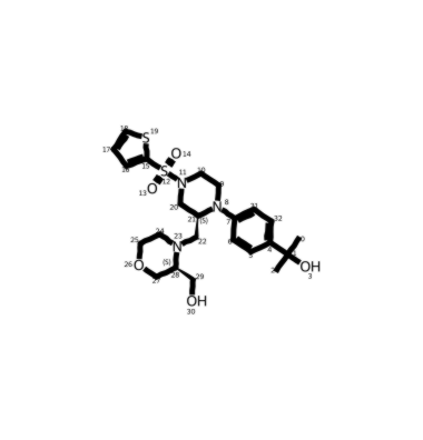 CC(C)(O)c1ccc(N2CCN(S(=O)(=O)c3cccs3)C[C@@H]2CN2CCOC[C@@H]2CO)cc1